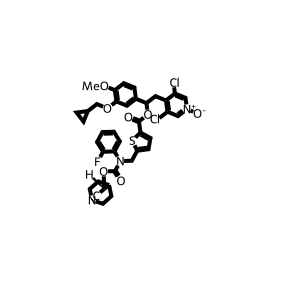 COc1ccc(C(Cc2c(Cl)c[n+]([O-])cc2Cl)OC(=O)c2ccc(CN(C(=O)O[C@H]3CN4CCC3CC4)c3ccccc3F)s2)cc1OCC1CC1